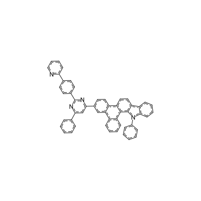 c1ccc(-c2cc(-c3ccc4c(c3)c3ccccc3c3c4ccc4c5ccccc5n(-c5ccccc5)c43)nc(-c3ccc(-c4ccccn4)cc3)n2)cc1